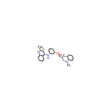 CCN(CCCOc1cccc(Nc2cc(C)nc3ccccc23)c1)c1ccccc1C